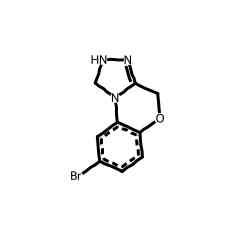 Brc1ccc2c(c1)N1CNN=C1CO2